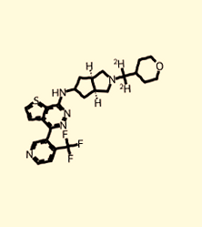 [2H]C([2H])(C1CCOCC1)N1C[C@H]2CC(Nc3nnc(-c4cnccc4C(F)(F)F)c4ccsc34)C[C@H]2C1